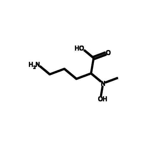 CN(O)C(CCCN)C(=O)O